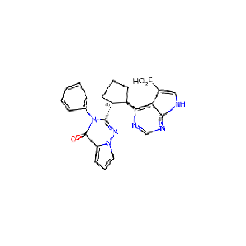 O=C(O)c1c[nH]c2ncnc(C3CCC[C@H]3c3nn4cccc4c(=O)n3-c3ccccc3)c12